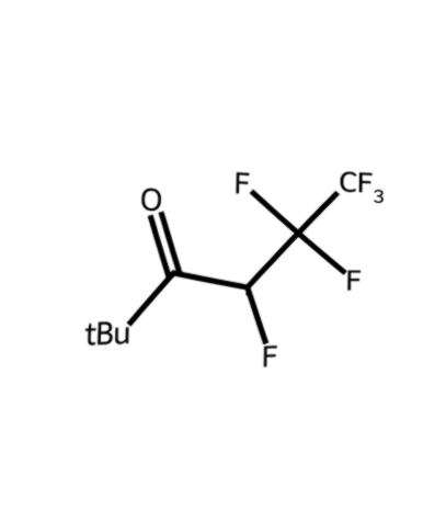 CC(C)(C)C(=O)[C](F)C(F)(F)C(F)(F)F